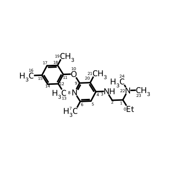 CCC(CNc1cc(C)nc(Oc2c(C)cc(C)cc2C)c1C)N(C)C